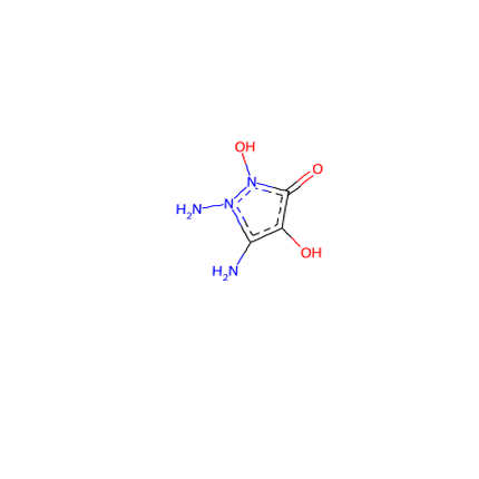 Nc1c(O)c(=O)n(O)n1N